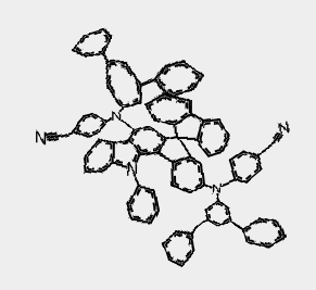 N#Cc1ccc(N(c2cc(-c3ccccc3)cc(-c3ccccc3)c2)c2ccc3c(c2)C2(c4ccccc4-c4ccccc42)c2cc(N(c4ccc(C#N)cc4)c4cc(-c5ccccc5)cc(-c5ccccc5)c4)c4c5ccccc5n(-c5ccccc5)c4c2-3)cc1